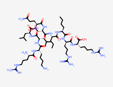 CCCC[C@H](NC(=O)[C@@H](NC(=O)[C@H](CC(=O)O)NC(=O)[C@H](CCC(N)=O)NC(=O)[C@H](CC(C)C)NC(=O)[C@H](CC(C)C)NC(=O)[C@H](CCCCN)NC(=O)[C@@H](N)CCCNC(=N)N)[C@@H](C)CC)C(=O)N[C@H](CCCNC(=N)N)C(=O)N[C@@H](CCCCNC(=N)N)C(=O)O